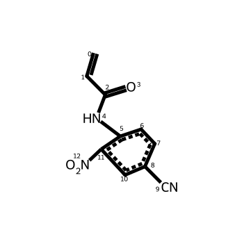 C=CC(=O)Nc1ccc(C#N)cc1[N+](=O)[O-]